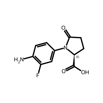 Nc1ccc(N2C(=O)CC[C@H]2C(=O)O)cc1F